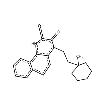 CC1(CCn2c(=O)c(=O)[nH]c3c4ccccc4ccc32)CCCCC1